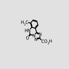 Cc1cccc2c1[nH]c(=O)n1nc(C(=O)O)nc21